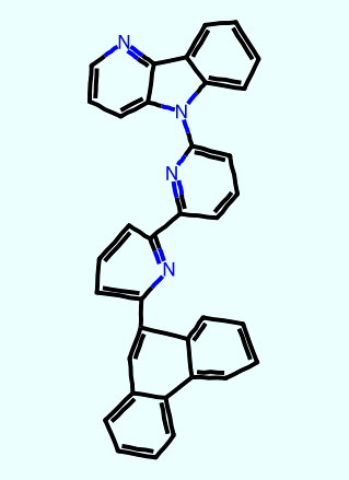 c1cc(-c2cccc(-n3c4ccccc4c4ncccc43)n2)nc(-c2cc3ccccc3c3ccccc23)c1